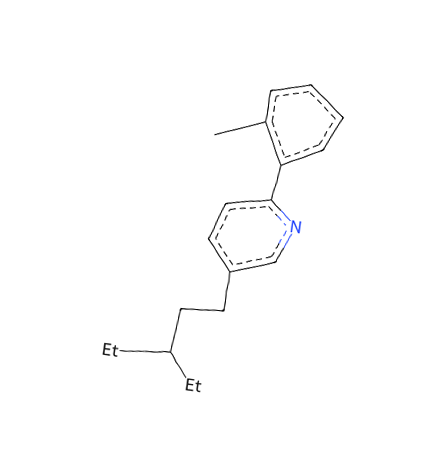 CCC(CC)CCc1ccc(-c2ccccc2C)nc1